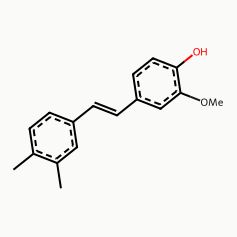 COc1cc(/C=C/c2ccc(C)c(C)c2)ccc1O